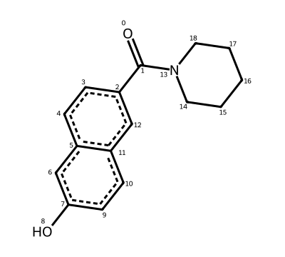 O=C(c1ccc2cc(O)ccc2c1)N1CCCCC1